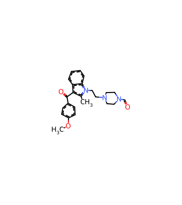 COc1ccc(C(=O)c2c(C)n(CCN3CCN(C=O)CC3)c3ccccc23)cc1